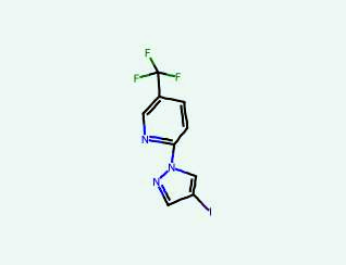 FC(F)(F)c1ccc(-n2cc(I)cn2)nc1